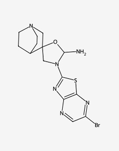 NC1OC2(CN3CCC2CC3)CN1c1nc2ncc(Br)nc2s1